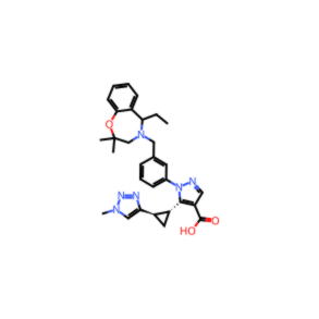 CCC1c2ccccc2OC(C)(C)CN1Cc1cccc(-n2ncc(C(=O)O)c2[C@@H]2C[C@H]2c2cn(C)nn2)c1